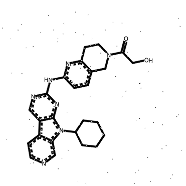 O=C(CO)N1CCc2nc(Nc3ncc4c5ccncc5n(C5CCCCC5)c4n3)ccc2C1